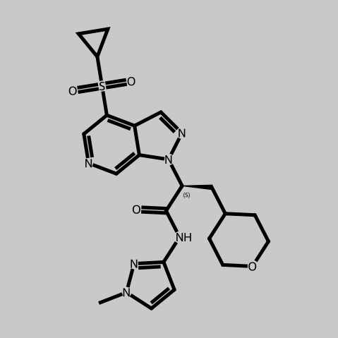 Cn1ccc(NC(=O)[C@H](CC2CCOCC2)n2ncc3c(S(=O)(=O)C4CC4)cncc32)n1